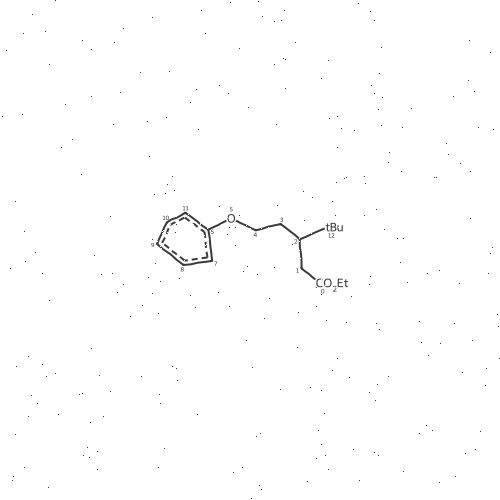 CCOC(=O)CC(CCOc1ccccc1)C(C)(C)C